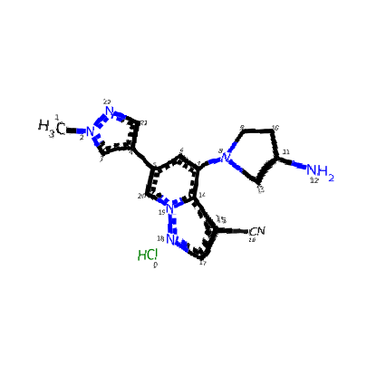 Cl.Cn1cc(-c2cc(N3CCC(N)C3)c3c(C#N)cnn3c2)cn1